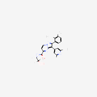 Cc1cc(-c2c(-c3cccc(C#N)c3C)nn3ccc(C(=O)N[C@@H](C)C(C)(C)O)nc23)cc(C)n1